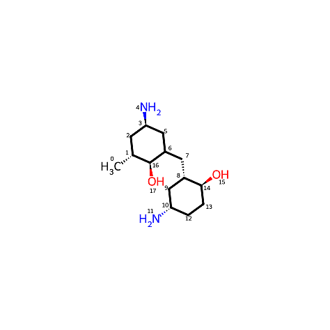 C[C@@H]1C[C@@H](N)CC(C[C@H]2C[C@@H](N)CC[C@@H]2O)[C@H]1O